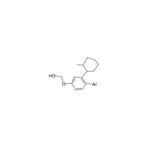 CC(=O)c1ccc(OCO)cc1C1CCCCC1C